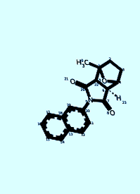 CC12CCC(O1)[C@H]1C(=O)N(c3ccc4ccccc4c3)C(=O)C12